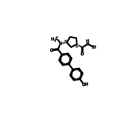 CCNC(=O)[C@H]1CC[C@@H](N(C)C(=O)c2ccc(-c3ccc(O)cc3)cc2)C1